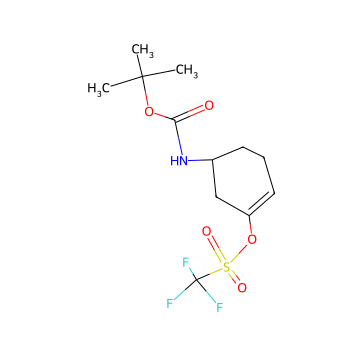 CC(C)(C)OC(=O)NC1CCC=C(OS(=O)(=O)C(F)(F)F)C1